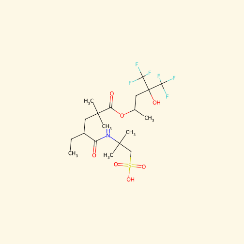 CCC(CC(C)(C)C(=O)OC(C)CC(O)(C(F)(F)F)C(F)(F)F)C(=O)NC(C)(C)CS(=O)(=O)O